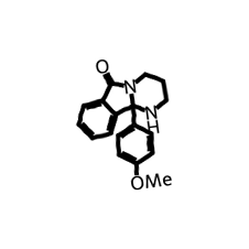 COc1ccc(C23NCCCN2C(=O)c2ccccc23)cc1